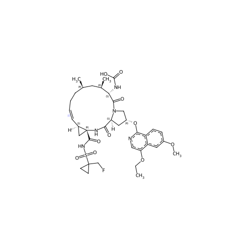 CCOc1cnc(O[C@@H]2C[C@H]3C(=O)N[C@]4(C(=O)NS(=O)(=O)C5(CF)CC5)C[C@H]4/C=C\CC[C@@H](C)C[C@@H](C)[C@H](NC(=O)O)C(=O)N3C2)c2ccc(OC)cc12